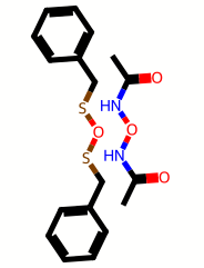 CC(=O)NONC(C)=O.c1ccc(CSOSCc2ccccc2)cc1